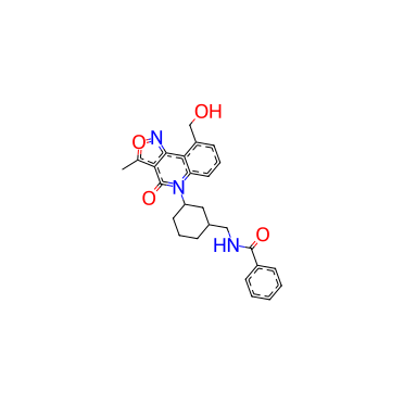 Cc1onc2c1c(=O)n(C1CCCC(CNC(=O)c3ccccc3)C1)c1cccc(CO)c21